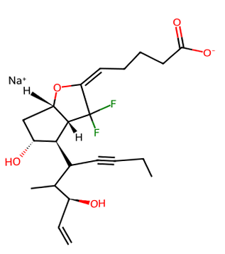 C=C[C@H](O)C(C)C(C#CCC)[C@@H]1[C@@H]2[C@H](C[C@H]1O)OC(=CCCCC(=O)[O-])C2(F)F.[Na+]